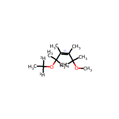 [2H]C([2H])(C)OC(C)(C)/C(C)=C(/C)C(C)(C)OC